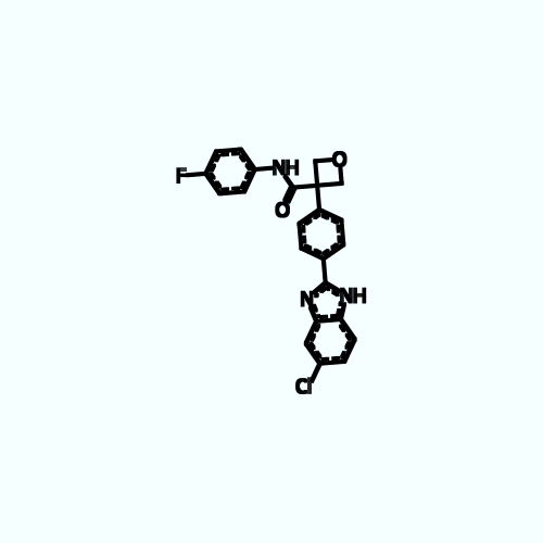 O=C(Nc1ccc(F)cc1)C1(c2ccc(-c3nc4cc(Cl)ccc4[nH]3)cc2)COC1